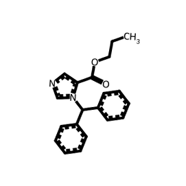 CCCOC(=O)c1cncn1C(c1ccccc1)c1ccccc1